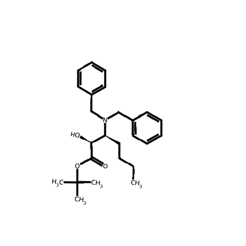 CCCC[C@@H]([C@H](O)C(=O)OC(C)(C)C)N(Cc1ccccc1)Cc1ccccc1